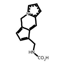 O=C(O)NCC1=CC=C2Cn3cccc3C=C12